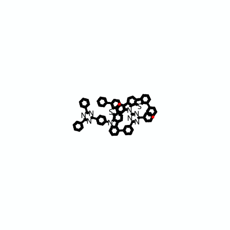 c1ccc(-c2nc(-c3ccccc3)nc(-c3ccc(-n4c5cccc(-c6cccc(-c7nc(-c8ccccc8)nc(-n8c9ccccc9c9ccc%10c%11cccc(-c%12ccccc%12)c%11sc%10c98)n7)c6)c5c5ccc6c7cccc(-c8ccccc8)c7sc6c54)cc3)n2)cc1